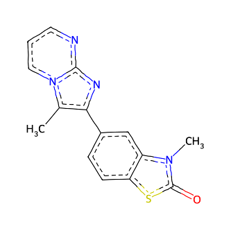 Cc1c(-c2ccc3sc(=O)n(C)c3c2)nc2ncccn12